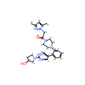 C/C=C(\C=N/C(=N)N1CCC(O)C1)c1ccccc1N1CCN(C(=O)Cn2nc(C)cc2C)CC1